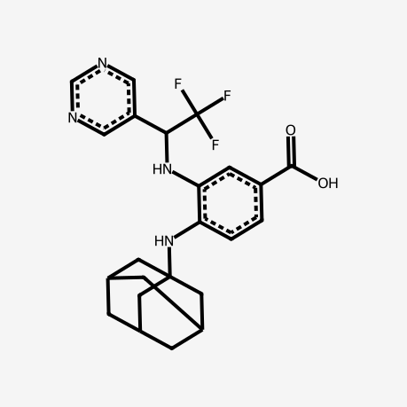 O=C(O)c1ccc(NC23CC4CC(CC(C4)C2)C3)c(NC(c2cncnc2)C(F)(F)F)c1